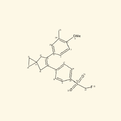 COc1ccc(C2=C(c3ccc(S(=O)(=O)CF)cc3)CC3(CC3)C2)cc1C